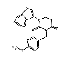 COc1ccc(CN2C(=O)CCN(c3coc4ccccc34)C2=O)cc1